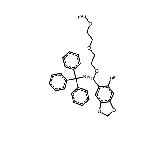 CCCCOCCOCCOCc1cc2c(cc1CCC)OCO2.NC(c1ccccc1)(c1ccccc1)c1ccccc1